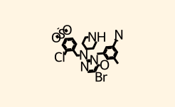 Cc1cc(C#N)cc(C)c1Oc1nc(N(Cc2ccc(S(C)(=O)=O)cc2Cl)C2CCNCC2)ncc1Br